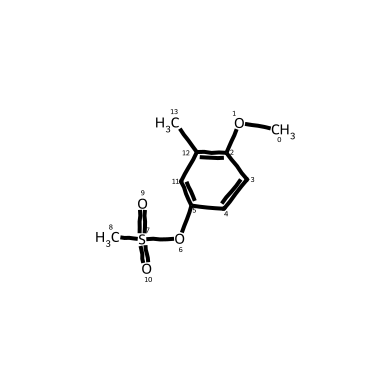 COc1ccc(OS(C)(=O)=O)cc1C